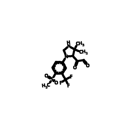 CC1(C)NCN(c2ccc(S(C)(=O)=O)c(C(F)(F)F)c2)C1C(=O)C=O